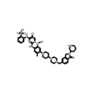 Cc1cc(Nc2ncc(Cl)c(Nc3ccccc3S(=O)(=O)C(C)C)n2)c(OC(C)C)cc1N1CCC(N2CCN(Cc3ccc4c(c3)CN(C3CCCNC3)C4=O)CC2)CC1